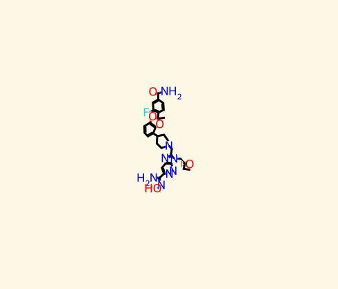 CC1(c2ccc(C(N)=O)cc2F)Oc2cccc(C3CCN(Cc4nc5cc(C(N)=NO)nnc5n4C[C@@H]4CCO4)CC3)c2O1